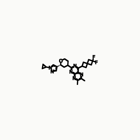 Cc1nc2nc(C3CCO[C@@H](c4cnn(C5CC5)c4)C3)nc(C3CC4(C3)CC(F)(F)C4)c2nc1C